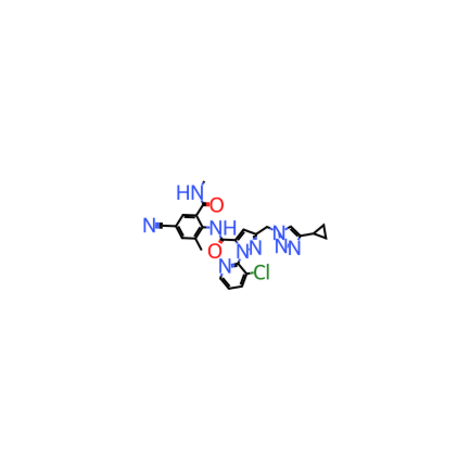 CNC(=O)c1cc(C#N)cc(C)c1NC(=O)c1cc(Cn2cc(C3CC3)nn2)nn1-c1ncccc1Cl